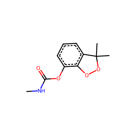 CNC(=O)Oc1cccc2c1OOC2(C)C